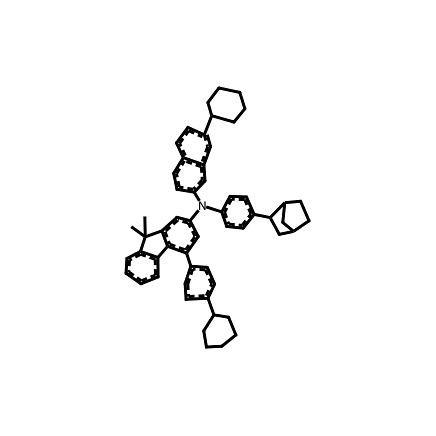 CC1(C)c2ccccc2-c2c(-c3ccc(C4CCCCC4)cc3)cc(N(c3ccc(C4CC5CCC4C5)cc3)c3ccc4ccc(C5CCCCC5)cc4c3)cc21